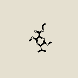 CCOC(=O)C1N=C(OC)[C@@H](C(C)C)N=C1OC